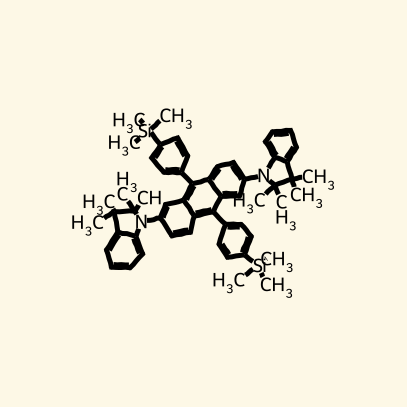 CC1(C)c2ccccc2N(c2ccc3c(-c4ccc([Si](C)(C)C)cc4)c4cc(N5c6ccccc6C(C)(C)C5(C)C)ccc4c(-c4ccc([Si](C)(C)C)cc4)c3c2)C1(C)C